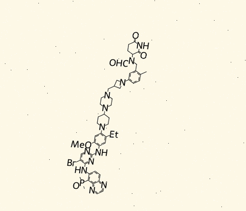 CCc1cc(Nc2ncc(Br)c(Nc3ccc4nccnc4c3P(C)(C)=O)n2)c(OC)cc1N1CCC(N2CCN(CC3CN(c4ccc(C)c(CN(C=O)C5CCC(=O)NC5=O)c4)C3)CC2)CC1